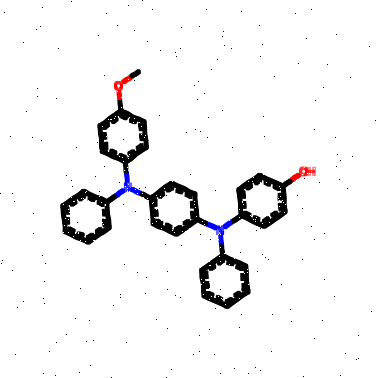 COc1ccc(N(c2ccccc2)c2ccc(N(c3ccccc3)c3ccc(O)cc3)cc2)cc1